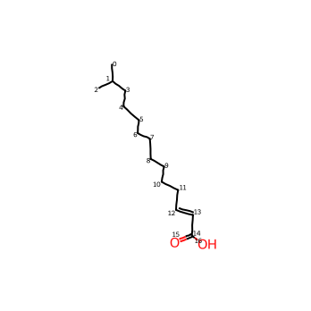 CC(C)CCCCCCCCCC=CC(=O)O